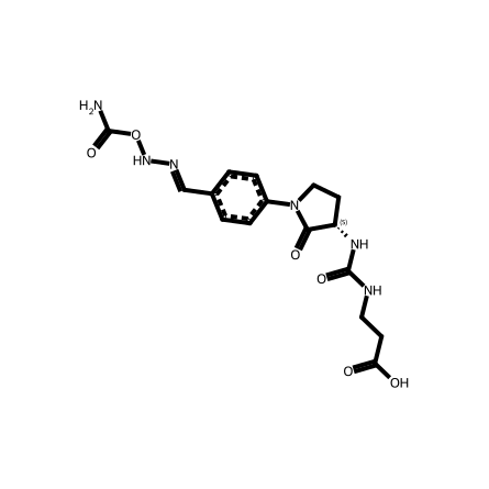 NC(=O)ONN=Cc1ccc(N2CC[C@H](NC(=O)NCCC(=O)O)C2=O)cc1